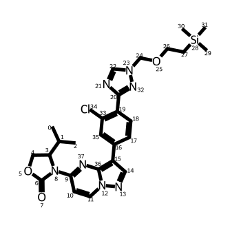 CC(C)C1COC(=O)N1c1ccn2ncc(-c3ccc(-c4ncn(COCC[Si](C)(C)C)n4)c(Cl)c3)c2n1